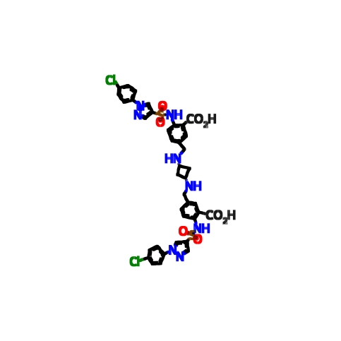 O=C(O)c1cc(CN[C@H]2C[C@@H](NCc3ccc(NS(=O)(=O)c4cnn(-c5ccc(Cl)cc5)c4)c(C(=O)O)c3)C2)ccc1NS(=O)(=O)c1cnn(-c2ccc(Cl)cc2)c1